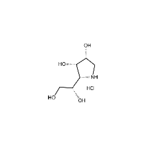 Cl.OC[C@@H](O)[C@H]1NC[C@@H](O)[C@H]1O